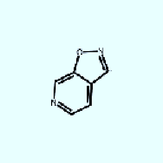 [c]1noc2cnccc12